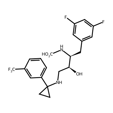 O=C(O)N[C@@H](Cc1cc(F)cc(F)c1)[C@@H](O)CNC1(c2cccc(C(F)(F)F)c2)CC1